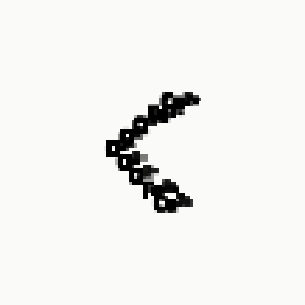 [Cu+2].[Cu+2].[Fe+3].[Fe+3].[O-2].[O-2].[O-2].[O-2].[O-2]